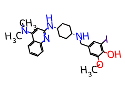 COc1cc(CN[C@H]2CC[C@@H](Nc3cc(N(C)C)c4ccccc4n3)CC2)cc(I)c1O